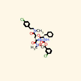 CON(C)C(=O)[C@H](CCC(=O)N(C)CCc1ccc(Cl)cc1)NC(=O)[C@H](CC1CCCCC1)NC(=O)OCc1cccc(Cl)c1